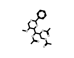 COC1COC(c2ccccc2)OC1C(OC(C)=O)C(COC(C)=O)OC(C)=O